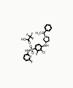 C[C@@H](c1ccccc1)N1CC[C@H](Nc2ccc(S(=O)(=O)Nc3cccc(F)n3)c(F)c2Cl)C1.O=C(O)C(F)(F)F